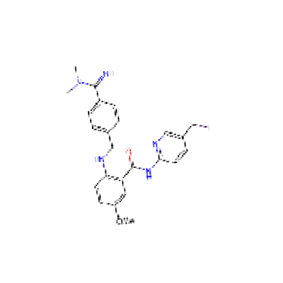 COc1ccc(NCc2ccc(C(=N)N(C)C)cc2)c(C(=O)Nc2ccc(CI)cn2)c1